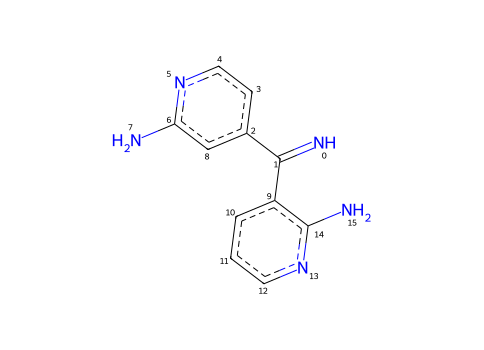 N=C(c1ccnc(N)c1)c1cccnc1N